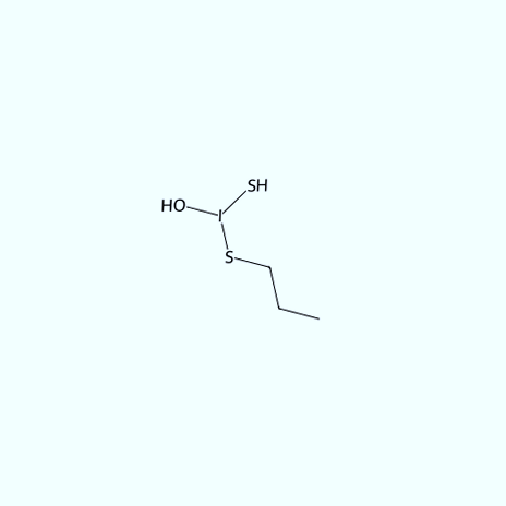 CCCSI(O)S